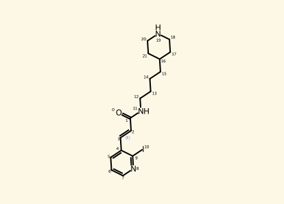 O=C(/C=C/c1cccnc1I)NCCCCC1CCNCC1